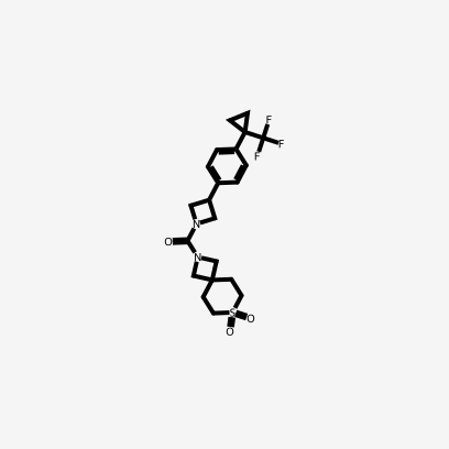 O=C(N1CC(c2ccc(C3(C(F)(F)F)CC3)cc2)C1)N1CC2(CCS(=O)(=O)CC2)C1